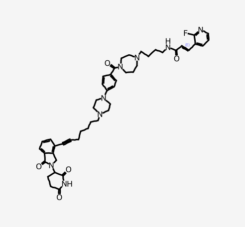 O=C(/C=C/c1cccnc1F)NCCCCN1CCCN(C(=O)c2ccc(N3CCN(CCCCCC#Cc4cccc5c4CN(C4CCC(=O)NC4=O)C5=O)CC3)cc2)CC1